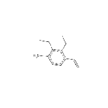 C=Cc1ccc([SiH3])c(CC)c1CC